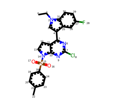 CCn1cc(-c2nc(Cl)nc3c2ccn3S(=O)(=O)c2ccc(C)cc2)c2cc(F)ccc21